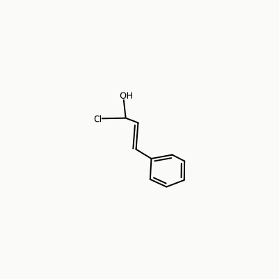 OC(Cl)C=Cc1ccccc1